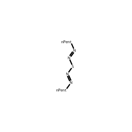 CCCCCN=NSN=NCCCCC